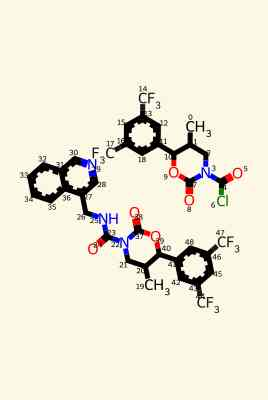 CC1CN(C(=O)Cl)C(=O)OC1c1cc(C(F)(F)F)cc(C(F)(F)F)c1.CC1CN(C(=O)NCc2cncc3ccccc23)C(=O)OC1c1cc(C(F)(F)F)cc(C(F)(F)F)c1